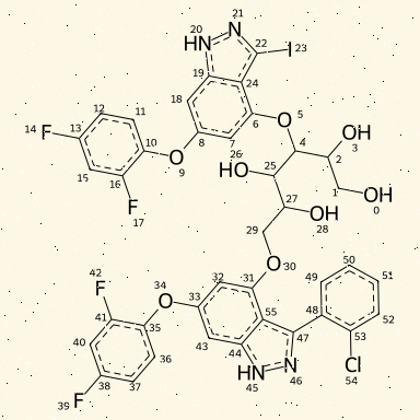 OCC(O)C(Oc1cc(Oc2ccc(F)cc2F)cc2[nH]nc(I)c12)C(O)C(O)COc1cc(Oc2ccc(F)cc2F)cc2[nH]nc(-c3ccccc3Cl)c12